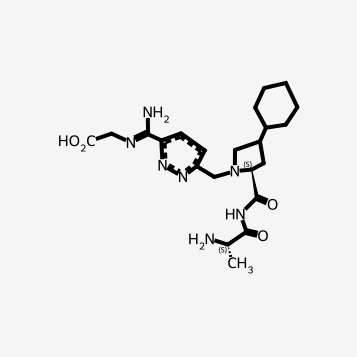 C[C@H](N)C(=O)NC(=O)[C@@H]1CC(C2CCCCC2)CN1Cc1ccc(C(N)=NCC(=O)O)nn1